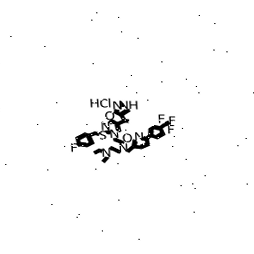 CCN(CC)CCN(Cc1ccc(-c2ccc(C(F)(F)F)cc2)nc1)C(=O)Cn1cc(C(C)c2cn[nH]c2)c(=O)nc1SCc1ccc(F)cc1.Cl